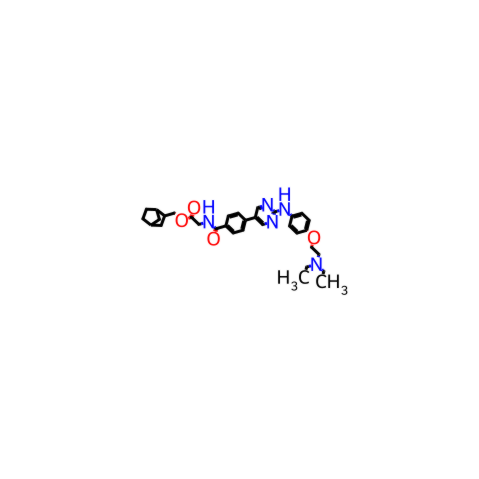 CCN(CC)CCOc1ccc(Nc2ncc(-c3ccc(C(=O)NCC(=O)OCC4CC5CCC4C5)cc3)cn2)cc1